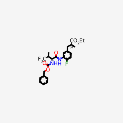 CCOC(=O)[C@@H](C)Cc1ccc(F)c(NC(=O)[C@@H](NC(=O)OCc2ccccc2)C(C)C(F)(F)F)c1